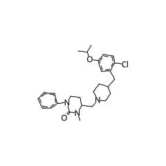 CC(C)Oc1ccc(Cl)c(CC2CCN(CC3CCN(c4ccccc4)C(=O)N3C)CC2)c1